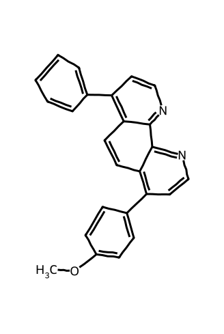 COc1ccc(-c2ccnc3c2ccc2c(-c4ccccc4)ccnc23)cc1